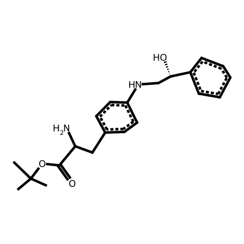 CC(C)(C)OC(=O)C(N)Cc1ccc(NC[C@H](O)c2ccccc2)cc1